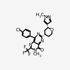 Cn1cc([C@H]2C[C@@H](c3nc(-c4ccc(Cl)cc4)c4nc(C(F)(F)F)n(C)c(=O)c4n3)CCO2)cn1